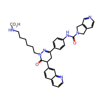 O=C(O)NCCCCCCN1N=C(c2ccc(NC(=O)N3Cc4ccncc4C3)cc2)CC(c2ccc3cccnc3c2)C1=O